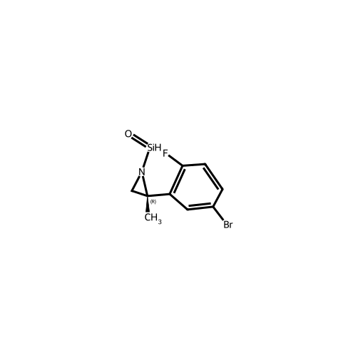 C[C@@]1(c2cc(Br)ccc2F)CN1[SiH]=O